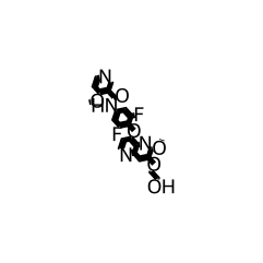 COc1ccncc1C(=O)Nc1cc(F)c(Oc2ccnc3cc(OCCO)c(OC)nc23)c(F)c1